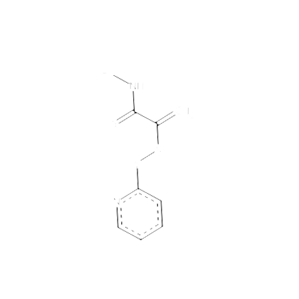 C=C(SSc1ccccn1)C(=O)NCC